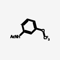 CC(=O)Nc1[c]ccc(OC(F)(F)F)c1